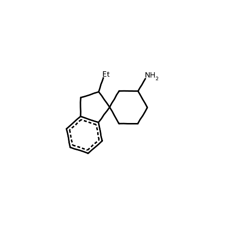 CCC1Cc2ccccc2C12CCCC(N)C2